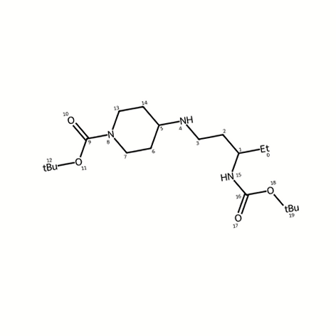 CCC(CCNC1CCN(C(=O)OC(C)(C)C)CC1)NC(=O)OC(C)(C)C